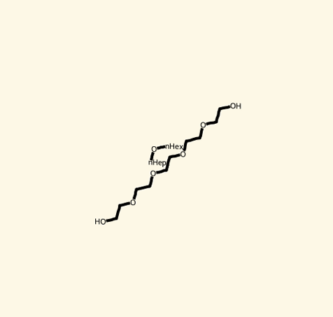 CCCCCCCOCCCCCC.OCCOCCOCCOCCOCCO